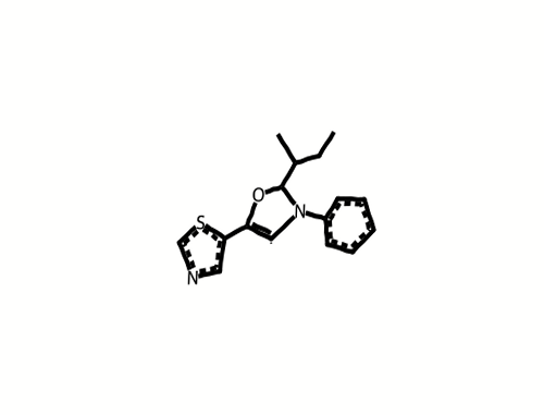 CCC(C)C1OC(c2cncs2)=[C]N1c1ccccc1